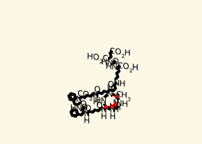 CC12CNCCNCC(NC(=O)CCCC(=O)NC(Cc3ccccc3)C(=O)NC(Cc3ccccc3)C(=O)NC(CCCCNC(=O)CCCCCCC(=O)NCCCCC(NC(=O)NC(CCC(=O)O)C(=O)O)C(=O)O)C(=O)O)(CNCCNC1)CNCCNC2